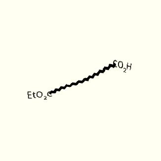 CCOC(=O)CC=CCCCCCCCCCCCCCCCCCCCCCC(=O)O